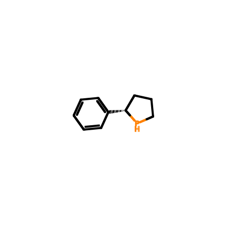 c1ccc([C@@H]2CCCP2)cc1